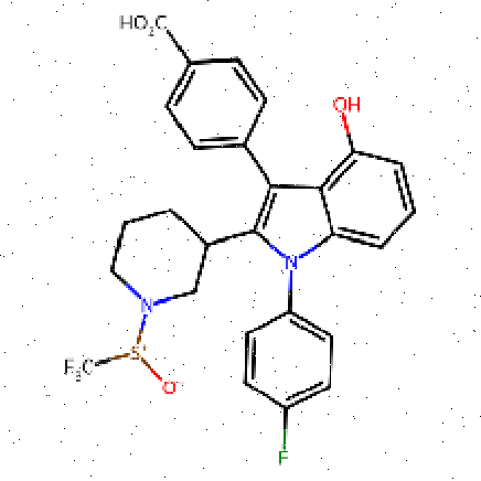 O=C(O)c1ccc(-c2c(C3CCCN([S+]([O-])C(F)(F)F)C3)n(-c3ccc(F)cc3)c3cccc(O)c23)cc1